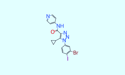 O=C(Nc1ccncc1)c1nnn(-c2ccc(I)c(Br)c2)c1C1CC1